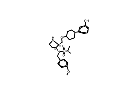 COc1ccc(CN([C@H]2CCN[C@H]2COC2CCC(c3cccc(O)c3)CC2)S(=O)(=O)N(C)C)cc1